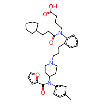 Cc1ccc(N(C(=O)c2ccco2)C2CCN(CCCc3ccccc3N(CCCC(=O)O)C(=O)CCC3CCCCC3)CC2)cc1